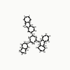 c1ccc2c(c1)oc1cc(-c3nc(-c4ccc5ncsc5c4)nc(-n4c5ccccc5c5ccccc54)n3)ccc12